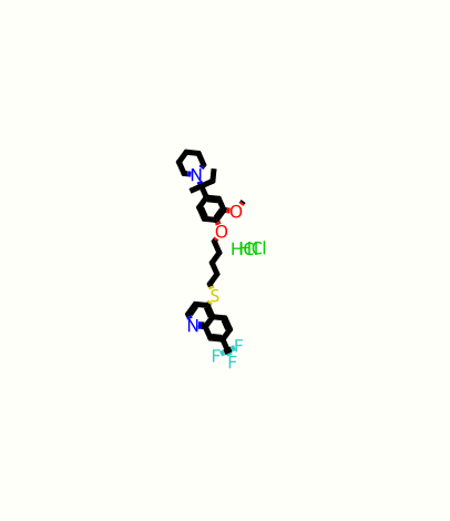 CCC(C)(c1ccc(OCCCCCSc2ccnc3cc(C(F)(F)F)ccc23)c(OC)c1)N1CCCCC1.Cl.Cl